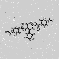 C=Cc1ccc(C(=O)Oc2ccc(OC(=O)c3ccc(C=C)cc3)c(-c3ccccc3)c2)cc1